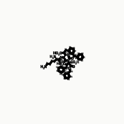 NCCCC[C@H](N)C(=O)N[C@@H](CC(Cc1ccccc1)C(=O)O)C(=O)N(C(=O)OCc1ccccc1)[C@@](C(=O)O)(C(=O)OCc1ccccc1)C(Cc1ccccc1)C(=O)O